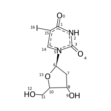 O=c1[nH]c(=O)n([C@H]2CC(O)C(CO)O2)cc1I